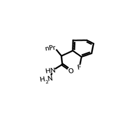 CCCC(C(=O)NN)c1ccccc1F